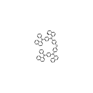 c1ccc2cccc(N(c3ccc(Oc4ccc(N(c5ccc(N(c6ccccc6)c6cccc7ccccc67)cc5)c5cccc6ccccc56)cc4)cc3)c3ccc(N(c4ccccc4)c4cccc5ccccc45)cc3)c2c#1